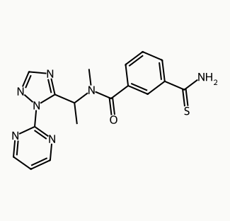 CC(c1ncnn1-c1ncccn1)N(C)C(=O)c1cccc(C(N)=S)c1